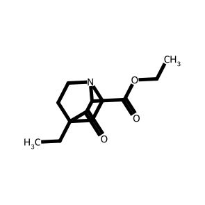 CCOC(=O)C1C(=O)C2(CC)CCN1CC2